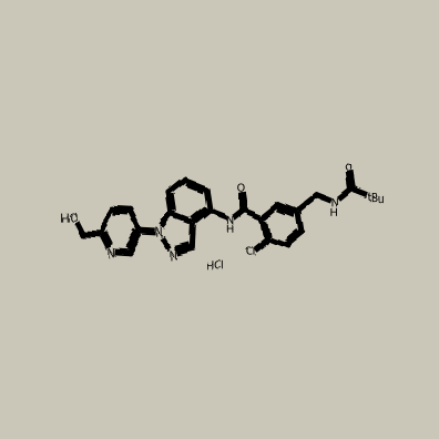 CC(C)(C)C(=O)NCc1ccc(Cl)c(C(=O)Nc2cccc3c2cnn3-c2ccc(CO)nc2)c1.Cl